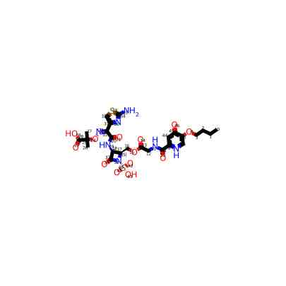 CCCCOc1c[nH]c(C(=O)NCC(=O)OC[C@@H]2[C@H](NC(=O)/C(=N\OC(C)(C)C(=O)O)c3csc(N)n3)C(=O)N2S(=O)(=O)O)cc1=O